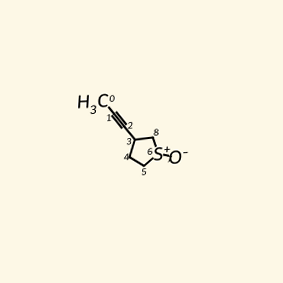 CC#CC1CC[S+]([O-])C1